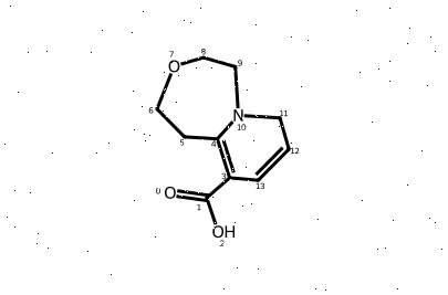 O=C(O)C1=C2CCOCCN2CC=C1